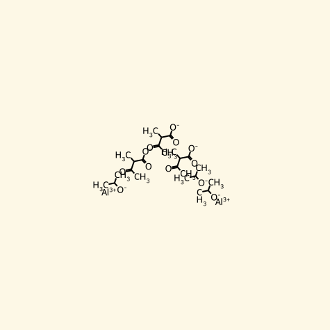 CC(=O)C(C)C(=O)[O-].CC(=O)C(C)C(=O)[O-].CC(=O)C(C)C(=O)[O-].CC(C)[O-].CC(C)[O-].CC(C)[O-].[Al+3].[Al+3]